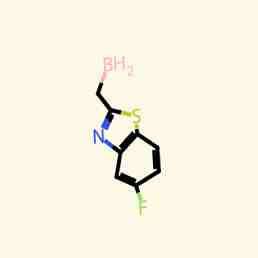 BCc1nc2cc(F)ccc2s1